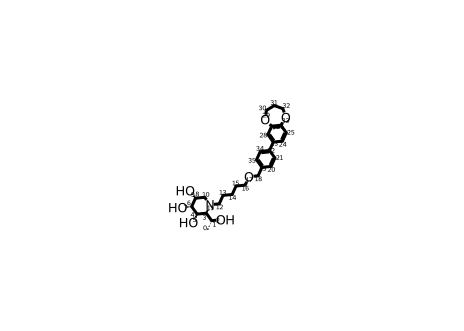 C[C@@H](O)[C@H]1[C@@H](O)[C@H](O)[C@@H](O)CN1CCCCCOCc1ccc(-c2ccc3c(c2)OCCCO3)cc1